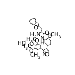 COc1ccc(-c2conc2-c2cc(OC)c(OC)c(OC)c2)cc1NC(=O)C(N)Cc1cc2ccccc2o1.Cl